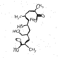 CC(=CC(C)CC(S)CC(C=C(C)C(=O)O)CO)C(=O)O